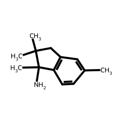 Cc1ccc2c(c1)CC(C)(C)C2(C)N